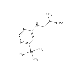 COC(C)CNc1c[c]([Sn]([CH3])([CH3])[CH3])ncn1